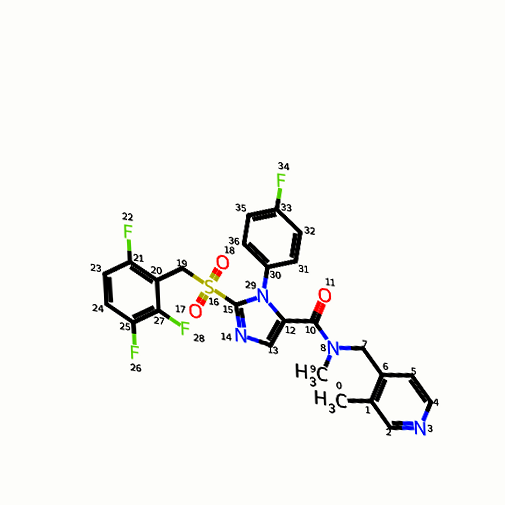 Cc1cnccc1CN(C)C(=O)c1cnc(S(=O)(=O)Cc2c(F)ccc(F)c2F)n1-c1ccc(F)cc1